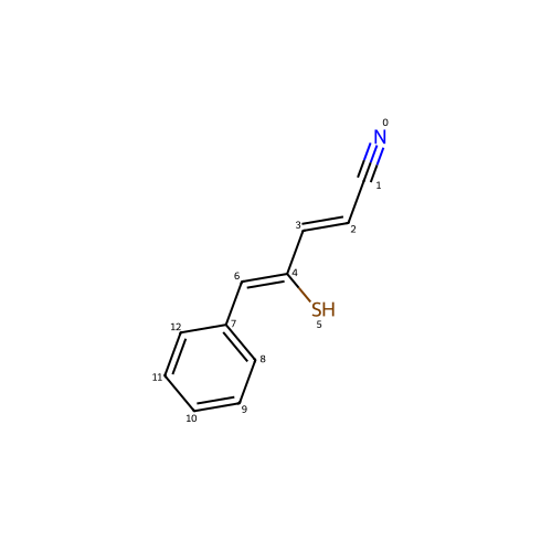 N#CC=CC(S)=Cc1ccccc1